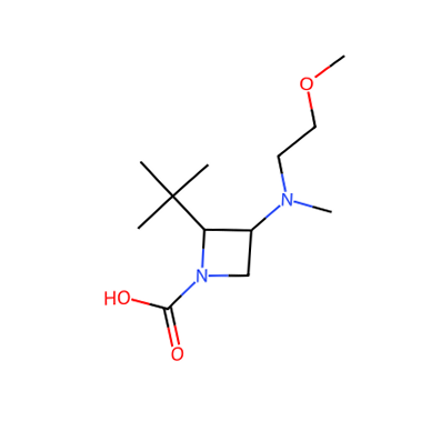 COCCN(C)C1CN(C(=O)O)C1C(C)(C)C